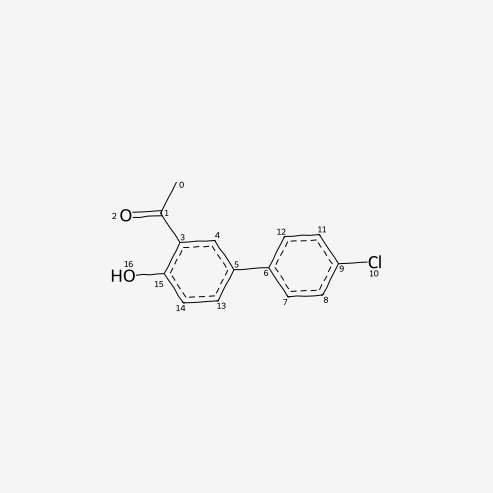 CC(=O)c1cc(-c2ccc(Cl)cc2)ccc1O